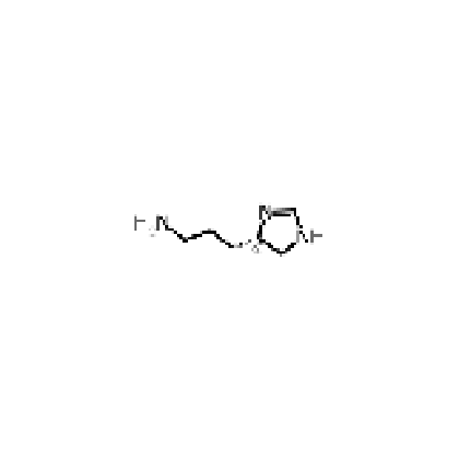 NCCC[C@H]1CNC=N1